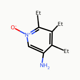 CCc1c(N)c[n+]([O-])c(CC)c1CC